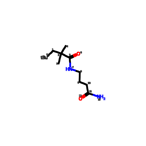 CC(C)(C)CC(C)(C)C(=O)NCCCC(N)=O